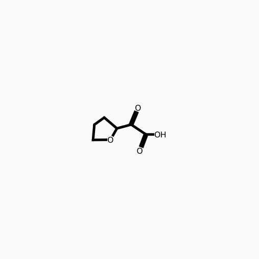 O=C(O)C(=O)C1CCCO1